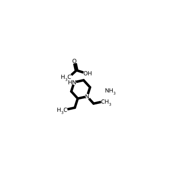 CC(=O)O.CCC1CNCCN1CC.N